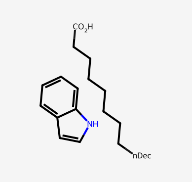 CCCCCCCCCCCCCCCCCC(=O)O.c1ccc2[nH]ccc2c1